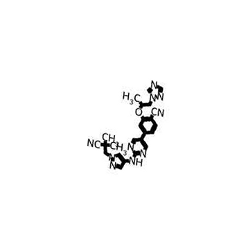 CC(Cn1cncn1)Oc1cc(-c2cnc(Nc3cnn(CC(C)(C)C#N)c3)nc2)ccc1C#N